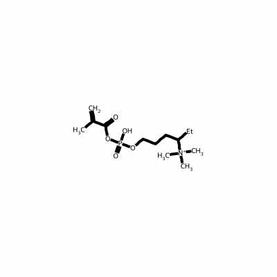 C=C(C)C(=O)OP(=O)(O)OCCCC(CC)[N+](C)(C)C